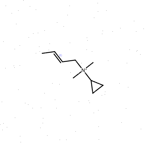 C/C=C/C[N+](C)(C)C1CC1